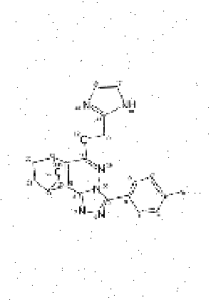 Cc1ccc(-c2nnc3c4c(c(OCc5ncc[nH]5)nn23)C2CCC4CC2)cc1